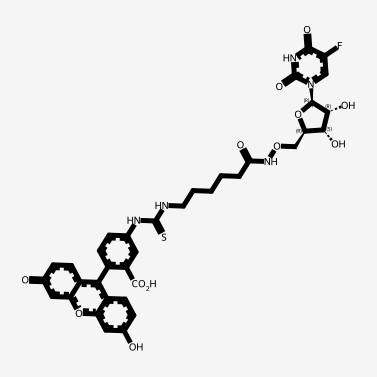 O=C(CCCCCNC(=S)Nc1ccc(-c2c3ccc(=O)cc-3oc3cc(O)ccc23)c(C(=O)O)c1)NOC[C@H]1O[C@@H](n2cc(F)c(=O)[nH]c2=O)[C@H](O)[C@@H]1O